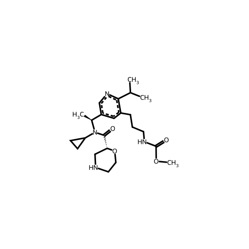 COC(=O)NCCCc1cc([C@H](C)N(C(=O)[C@H]2CNCCO2)C2CC2)cnc1C(C)C